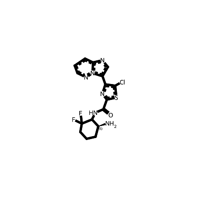 N[C@H]1CCCC(F)(F)C1NC(=O)c1nc(-c2cnc3cccnn23)c(Cl)s1